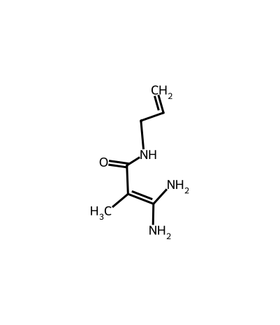 C=CCNC(=O)C(C)=C(N)N